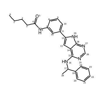 CCCCC(=O)Nc1cccc(-c2cc3c(NC(C)c4ccccc4)ncnc3[nH]2)c1